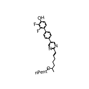 CCCCCOC(C)CCCC=Cc1ncc(-c2ccc(-c3ccc(O)c(F)c3F)cc2)cn1